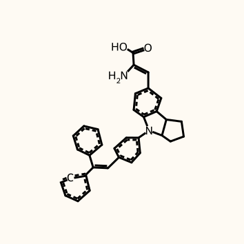 N/C(=C\c1ccc2c(c1)C1CCCC1N2c1ccc(C=C(c2ccccc2)c2ccccc2)cc1)C(=O)O